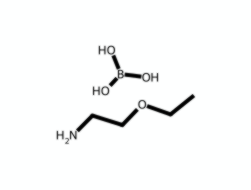 CCOCCN.OB(O)O